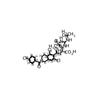 CN(C)NC(NC[C@H](NC(=O)c1c(Cl)cc2c(c1Cl)CCN(C(=O)c1ccc(Cl)cc1)C2)C(=O)O)NS(C)(=O)=O